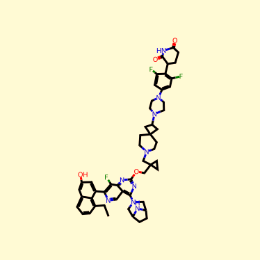 CCc1cccc2cc(O)cc(-c3ncc4c(N5CC6CCC(C5)N6)nc(OCC5(CN6CCC7(CC6)CC(N6CCN(c8cc(F)c(C9CCC(=O)NC9=O)c(F)c8)CC6)C7)CC5)nc4c3F)c12